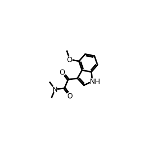 COc1cccc2[nH]cc(C(=O)C(=O)N(C)C)c12